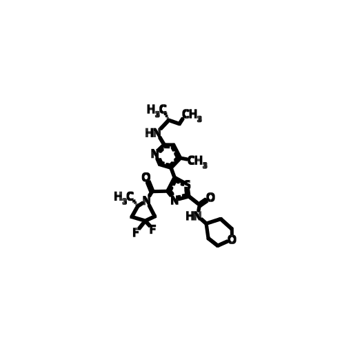 CC[C@@H](C)Nc1cc(C)c(-c2sc(C(=O)NC3CCOCC3)nc2C(=O)N2CC(F)(F)C[C@@H]2C)cn1